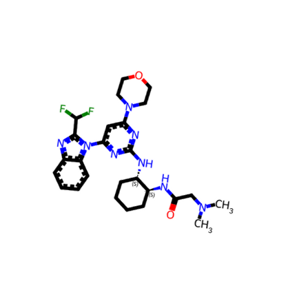 CN(C)CC(=O)N[C@H]1CCCC[C@@H]1Nc1nc(N2CCOCC2)cc(-n2c(C(F)F)nc3ccccc32)n1